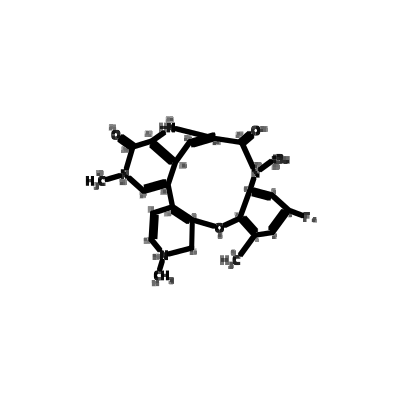 Cc1cc(F)cc2c1OC1=C(C=CN(C)C1)c1cn(C)c(=O)c3[nH]c(cc13)C(=O)N2C(C)(C)C